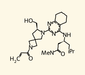 C=CC(=O)N1CC2(C[C@@H](CO)N(c3nc4c(c(N[C@H](CC(=O)NC)CC(C)C)n3)CCCC4)C2)C1